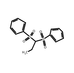 CCC(S(=O)(=O)c1ccccc1)S(=O)(=O)c1ccccc1